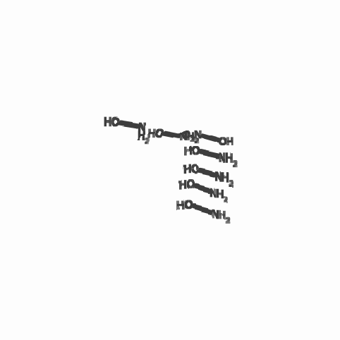 NO.NO.NO.NO.NO.NO.O=[N+]([O-])O